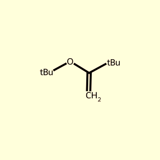 C=C(OC(C)(C)C)C(C)(C)C